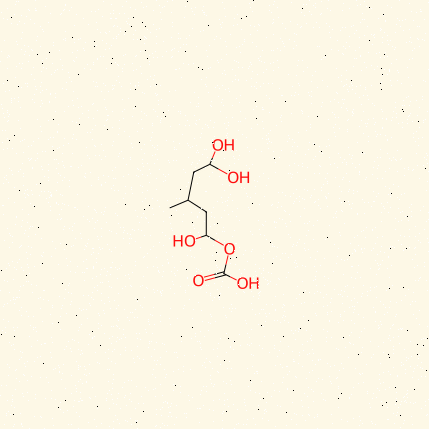 CC(CC(O)O)CC(O)OC(=O)O